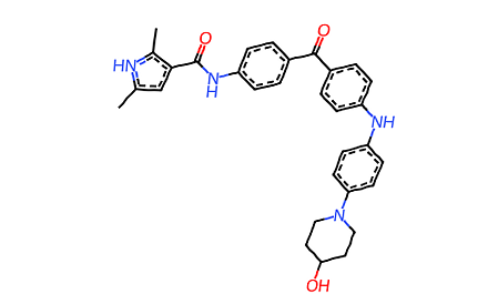 Cc1cc(C(=O)Nc2ccc(C(=O)c3ccc(Nc4ccc(N5CCC(O)CC5)cc4)cc3)cc2)c(C)[nH]1